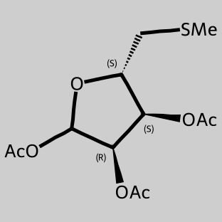 CSC[C@H]1OC(OC(C)=O)[C@H](OC(C)=O)[C@@H]1OC(C)=O